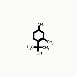 CC1=C(C(C)(C)O)CCC(C)C1